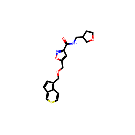 O=C(NCC1CCOC1)c1cc(COCc2ccc3csccc2-3)on1